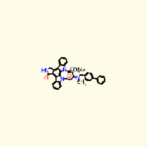 COC1C(N(C)Cc2ccc(-c3ccccc3)cc2)CC2OC1(C)n1c3ccccc3c3c4c(c5c6ccccc6n2c5c31)C(=O)NC4